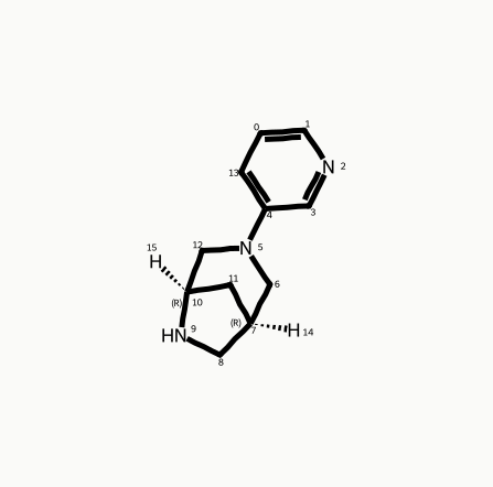 c1cncc(N2C[C@H]3CN[C@H](C3)C2)c1